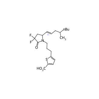 CCCCC(C)C/C=C/C1CC(F)(F)C(=O)N1CCCc1ccc(C(=O)O)s1